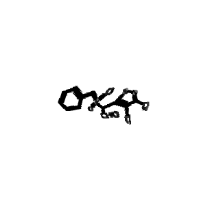 O=CC(c1snc(Cl)c1Cl)S(=O)(=O)Cc1ccccc1